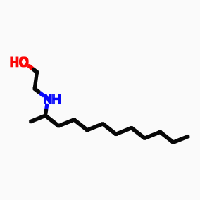 CCCCCCCCCCC(C)NCCO